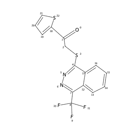 O=C(CSc1nnc(C(F)(F)F)c2ccccc12)c1cccs1